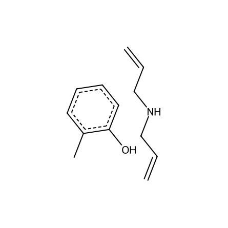 C=CCNCC=C.Cc1ccccc1O